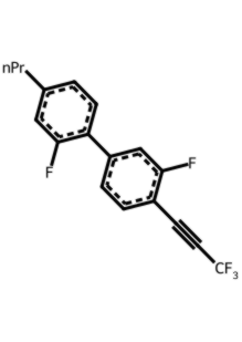 CCCc1ccc(-c2ccc(C#CC(F)(F)F)c(F)c2)c(F)c1